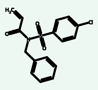 C=CC(=O)N(Cc1ccccc1)S(=O)(=O)c1ccc(Cl)cc1